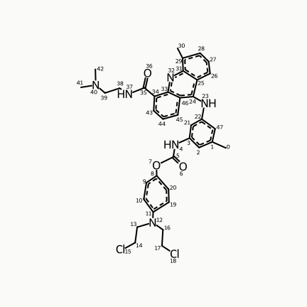 Cc1cc(NC(=O)Oc2ccc(N(CCCl)CCCl)cc2)cc(Nc2c3cccc(C)c3nc3c(C(=O)NCCN(C)C)cccc23)c1